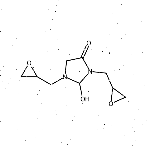 O=C1CN(CC2CO2)C(O)N1CC1CO1